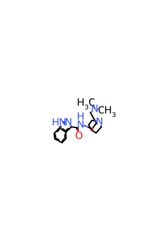 CN(C)CC1C(NC(=O)c2n[nH]c3ccccc23)C2CCN1CC2